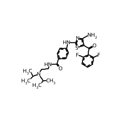 CC(C)N(CCNC(=O)c1ccc(Nc2nc(N)c(C(=O)c3c(F)cccc3F)s2)cc1)C(C)C